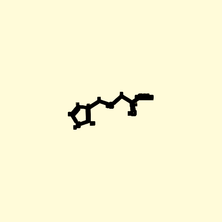 COC(=O)CSCc1ccsc1